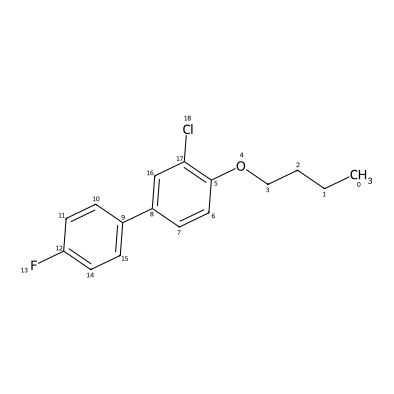 CCCCOc1ccc(-c2ccc(F)cc2)cc1Cl